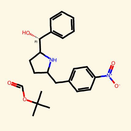 CC(C)(C)OC=O.O=[N+]([O-])c1ccc(CC2CCC([C@H](O)c3ccccc3)N2)cc1